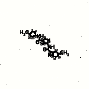 Cc1ccc(NC(=O)c2cnc(NC(=O)C3=Nc4ccc(C)cc43)[se]2)cc1